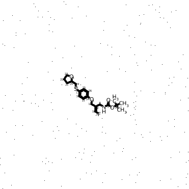 CC(C)(C)OC(=O)NC/C(=C\F)COc1ccc(SCC2CCCO2)cc1